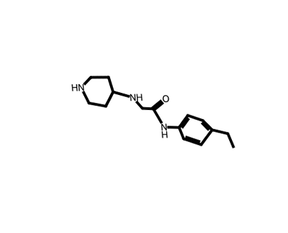 CCc1ccc(NC(=O)CNC2CCNCC2)cc1